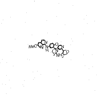 COc1cnc2c(Nc3ccc4c(c3)[C@@]3(CCSC(N)=N3)c3cc(C5=CCCOC5)ncc3O4)nccc2c1